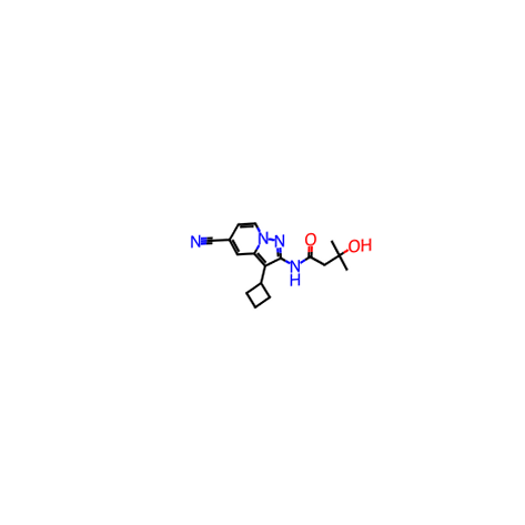 CC(C)(O)CC(=O)Nc1nn2ccc(C#N)cc2c1C1CCC1